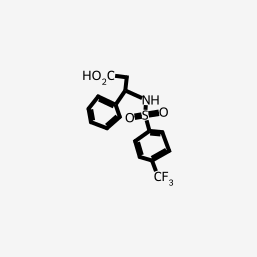 O=C(O)CC(NS(=O)(=O)c1ccc(C(F)(F)F)cc1)c1ccccc1